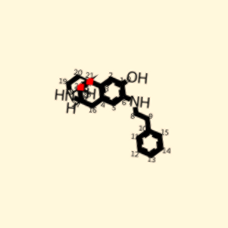 Oc1cc2c(cc1NCCc1ccccc1)C[C@H]1NCC[C@@]23CCCC[C@@H]13